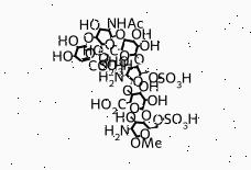 COC1O[C@H](COS(=O)(=O)O)[C@@H](O[C@@H]2O[C@@H](C(=O)O)[C@@H](O[C@H]3O[C@H](COS(=O)(=O)O)[C@@H](O[C@@H]4O[C@H](C(=O)O)[C@@H](O[C@H]5O[C@H](COS(=O)(=O)O)[C@@H](O[C@@H]6OC(C(=O)O)=C[C@H](O)[C@H]6O)[C@H](O)[C@H]5NC(C)=O)[C@H](O)[C@H]4O)[C@H](O)[C@H]3N)[C@H](O)[C@H]2O)[C@H](O)[C@H]1N